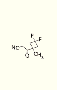 CC1(C(=O)CC#N)CC(F)(F)C1